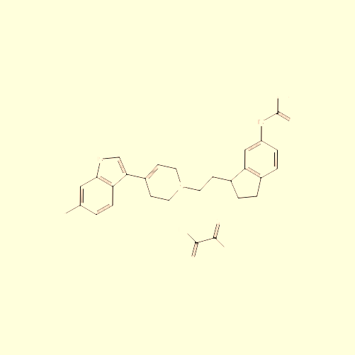 CC(=O)Nc1ccc2c(c1)C(CCN1CC=C(c3c[nH]c4cc(Cl)ccc34)CC1)CC2.O=C(O)C(=O)O